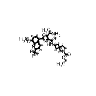 CCOC(=O)N1CCC2(CC(NC(=O)c3nc(-c4ccc(OC)c5nc(C(F)(F)F)ccc45)oc3[C@H](C)N)C2)C1